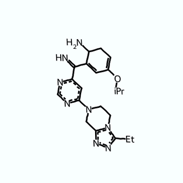 CCc1nnc2n1CCN(c1cc(C(=N)C3=CC(OC(C)C)=CCC3N)ncn1)C2